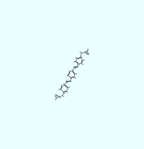 C(=N\c1ccc(/C=N/c2ccc(CC3CO3)cc2)cc1)/c1ccc(CC2CO2)cc1